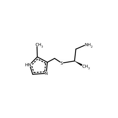 Cc1[nH]cnc1CS[C@H](C)CN